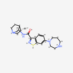 O=C(N[C@H]1CN2CCC1CC2)c1nsc2cc(N3CCCNCC3)ccc12